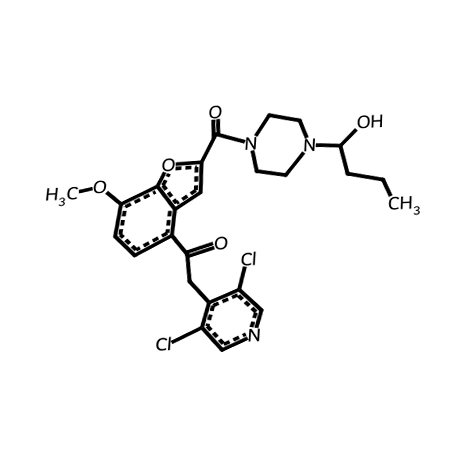 CCCC(O)N1CCN(C(=O)c2cc3c(C(=O)Cc4c(Cl)cncc4Cl)ccc(OC)c3o2)CC1